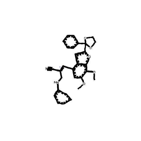 COc1cc(/C=C(/C#N)CNc2ccccc2)c2cc(C3(c4ccccc4)OCCO3)oc2c1OC